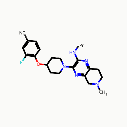 CC(C)Nc1nc2c(nc1N1CCC(Oc3ccc(C#N)cc3F)CC1)CN(C)CC2